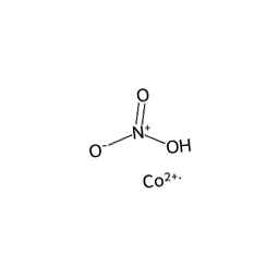 O=[N+]([O-])O.[Co+2]